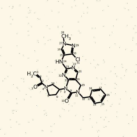 C=CC(=O)N1CCC(N2C(=O)N(Cc3ccccc3)Cc3cnc(Nc4cn(C)nc4Cl)nc32)C1